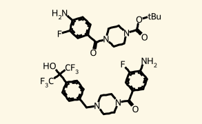 CC(C)(C)OC(=O)N1CCN(C(=O)c2ccc(N)c(F)c2)CC1.Nc1ccc(C(=O)N2CCN(Cc3ccc(C(O)(C(F)(F)F)C(F)(F)F)cc3)CC2)cc1F